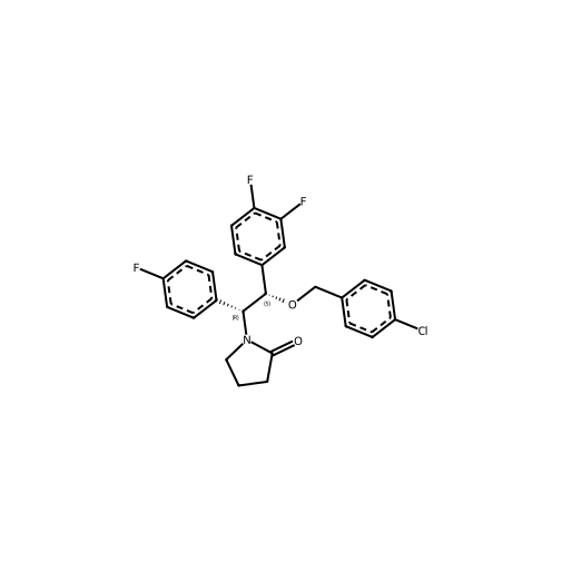 O=C1CCCN1[C@H](c1ccc(F)cc1)[C@@H](OCc1ccc(Cl)cc1)c1ccc(F)c(F)c1